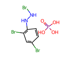 BrNNc1ccc(Br)cc1Br.O=P(O)(O)O